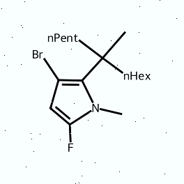 CCCCCCC(C)(CCCCC)c1c(Br)cc(F)n1C